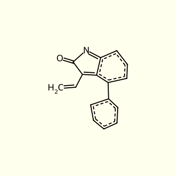 C=CC1=c2c(-c3ccccc3)cccc2=NC1=O